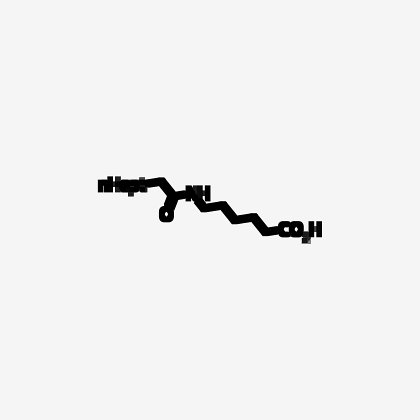 CCCCCCCCC(=O)NCCCCCC(=O)O